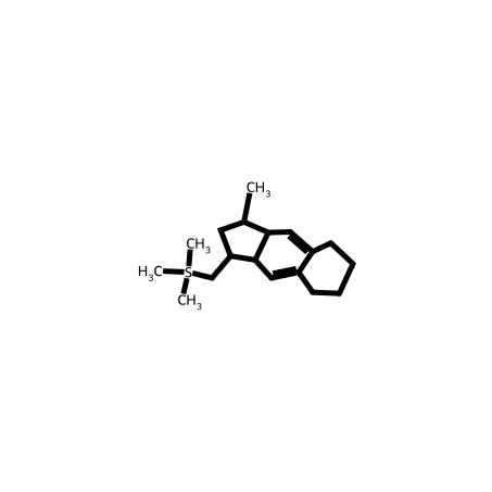 CC1CC(CS(C)(C)C)C2C=C3CCCCC3=CC12